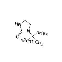 CCCCCCC(C)(CCCCC)N1CCNC1=O